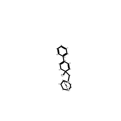 ClC1(CN2CCN3CCC2CC3)C=CC(c2ccccc2)=CC1